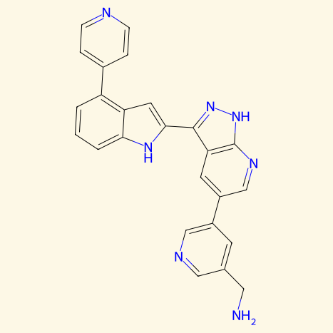 NCc1cncc(-c2cnc3[nH]nc(-c4cc5c(-c6ccncc6)cccc5[nH]4)c3c2)c1